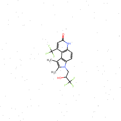 Cc1c(C)n(CC(O)C(F)(F)F)c2ccc3[nH]c(=O)cc(C(F)(F)F)c3c12